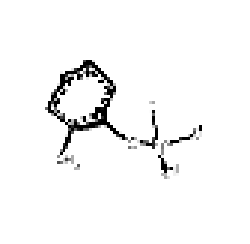 Cc1ccccc1[O][Hf]([Cl])([Cl])[Cl]